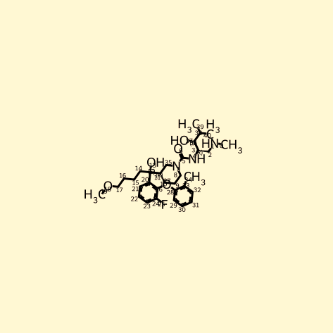 CNC[C@@H](NC(=O)N1CCC[C@@H]([C@@](O)(CCCCOC)c2cccc(F)c2Oc2ccccc2C)C1)[C@@H](O)C(C)C